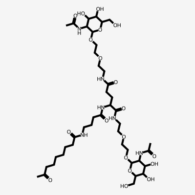 CC(=O)CCCCCCC(=O)NCCCC(=O)NC(CCC(=O)NCCOCCOC1OC(CO)C(O)C(O)C1NC(C)=O)C(=O)NCCOCCOC1OC(CO)C(O)C(O)C1NC(C)=O